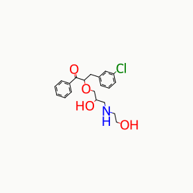 O=C(c1ccccc1)C(Cc1cccc(Cl)c1)OCC(O)CNCCO